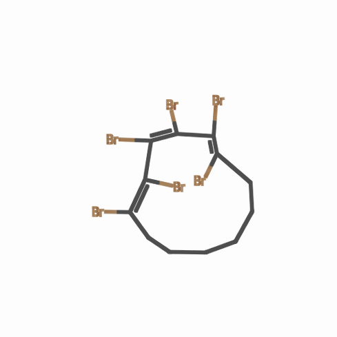 BrC1=C(Br)/C(Br)=C(\Br)CCCCCC\C(Br)=C\1Br